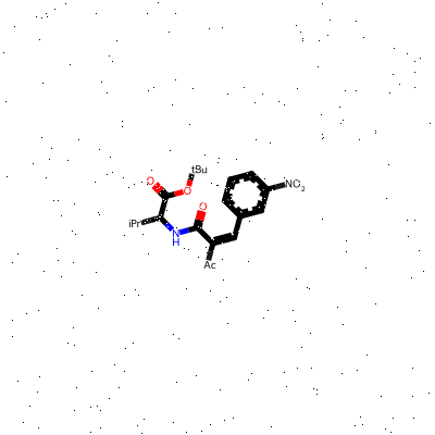 CC(=O)C(=Cc1cccc([N+](=O)[O-])c1)C(=O)NC(C(=O)OC(C)(C)C)C(C)C